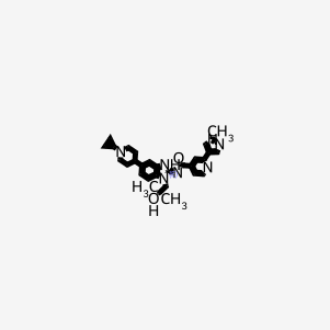 Cn1cc(-c2cc(C(=O)/N=c3\[nH]c4cc(C5CCN(C6CC6)CC5)ccc4n3CC(C)(C)O)ccn2)cn1